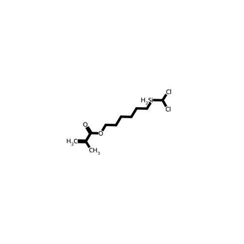 C=C(C)C(=O)OCCCCCC[SiH2]C(Cl)Cl